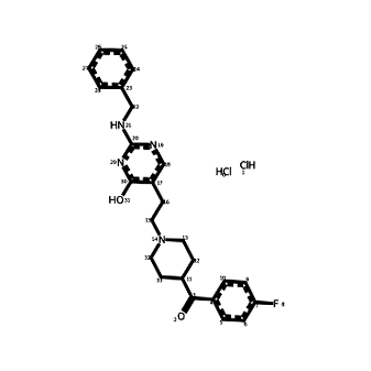 Cl.Cl.O=C(c1ccc(F)cc1)C1CCN(CCc2cnc(NCc3ccccc3)nc2O)CC1